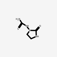 NC(=S)NN1CCNC1=O